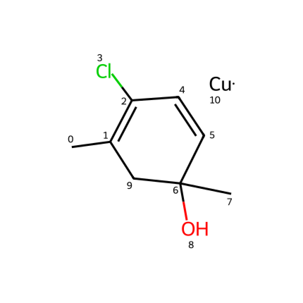 CC1=C(Cl)C=CC(C)(O)C1.[Cu]